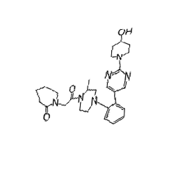 CC1CN(c2ccccc2-c2cnc(N3CCC(O)CC3)nc2)CCN1C(=O)CN1CCCCC1=O